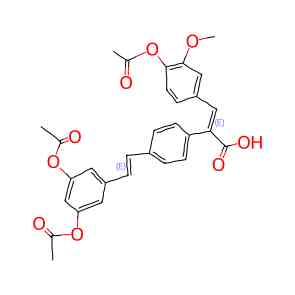 COc1cc(/C=C(/C(=O)O)c2ccc(/C=C/c3cc(OC(C)=O)cc(OC(C)=O)c3)cc2)ccc1OC(C)=O